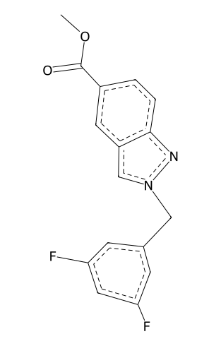 COC(=O)c1ccc2nn(Cc3cc(F)cc(F)c3)cc2c1